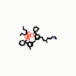 C/C=C\CCC(C)CCc1cc2c(c(C3(C)CCCCC3)c1)OP(=O)(OC(CCC)CCC)Oc1c(cc(C)cc1C1(C)CCCCC1)C2